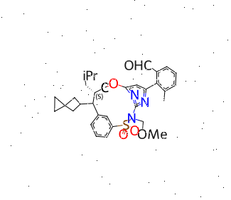 COCN1c2nc(cc(-c3c(C)cccc3C=O)n2)OC[C@@H](CC(C)C)C(C2CC3(CC3)C2)c2cccc(c2)S1(=O)=O